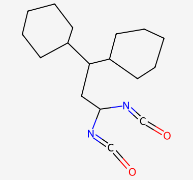 O=C=NC(CC(C1CCCCC1)C1CCCCC1)N=C=O